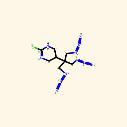 [N-]=[N+]=NCC(CN=[N+]=[N-])(CN=[N+]=[N-])C1CN=C(Cl)NC1